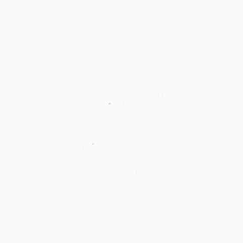 CCCCOC[C@@H](OCCCC)C(CC)OC(F)[C@H](C)OCCCC